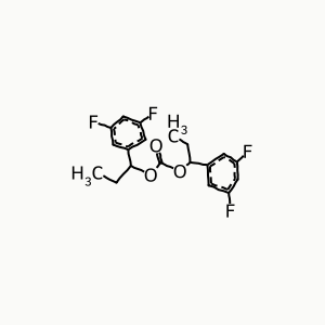 CCC(OC(=O)OC(CC)c1cc(F)cc(F)c1)c1cc(F)cc(F)c1